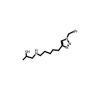 CC(C)Cn1cc(CCCCCNCC(C)S)nn1